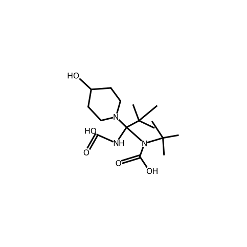 CC(C)(C)N(C(=O)O)C(NC(=O)O)(N1CCC(O)CC1)C(C)(C)C